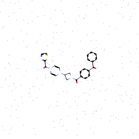 O=C(c1ccccc1)c1ccc(C(=O)N2CC(N3C=CN(C(=O)c4nccs4)C=C3)C2)cc1